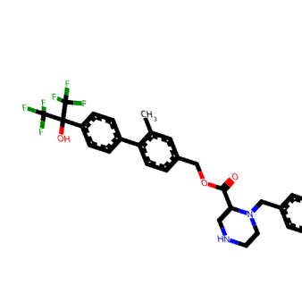 Cc1cc(COC(=O)C2CNCCN2Cc2ccncc2)ccc1-c1ccc(C(O)(C(F)(F)F)C(F)(F)F)cc1